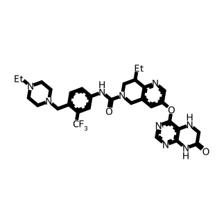 CCC1CN(C(=O)Nc2ccc(CN3CCN(CC)CC3)c(C(F)(F)F)c2)Cc2cc(Oc3ncnc4c3NCC(=O)N4)cnc21